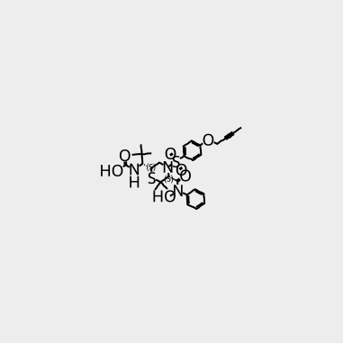 CC#CCOc1ccc(S(=O)(=O)N2C[C@@H](C(NC(=O)O)C(C)(C)C)SC(C)(C)[C@@H]2C(=O)N(O)c2ccccc2)cc1